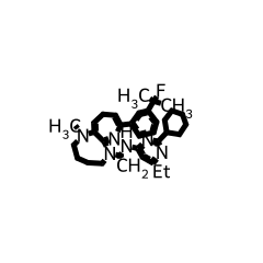 C=C(Nc1cc(CC)nc(C2CCCCC2)n1)N1CCCCN(C)C2=CCC=C(c3cccc(C(C)(C)F)c3)N=C21